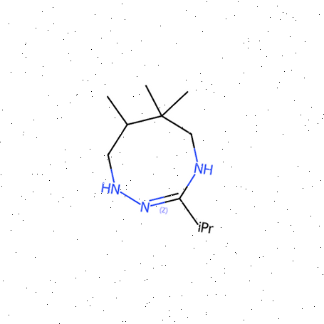 CC(C)/C1=N/NCC(C)C(C)(C)CN1